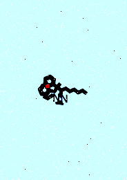 CCCCCCC(c1nccn1CCC)C(C)(Cc1ccccc1)c1ccccc1